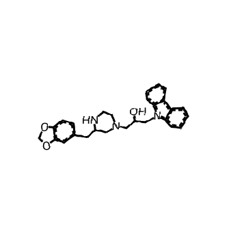 OC(CN1CCNC(Cc2ccc3c(c2)OCO3)C1)Cn1c2ccccc2c2ccccc21